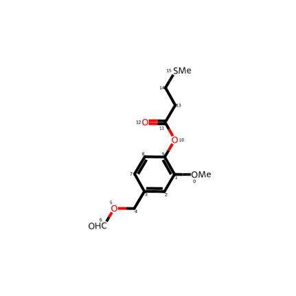 COc1cc(COC=O)ccc1OC(=O)CCSC